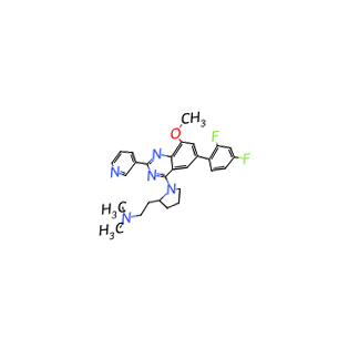 COc1cc(-c2ccc(F)cc2F)cc2c(N3CCCC3CCN(C)C)nc(-c3cccnc3)nc12